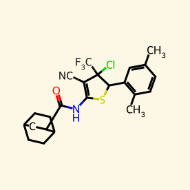 Cc1ccc(C)c(C2SC(NC(=O)C3CC4CCC3CC4)=C(C#N)C2(Cl)C(F)(F)F)c1